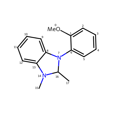 COc1ccccc1N1c2ccccc2N(C)C1C